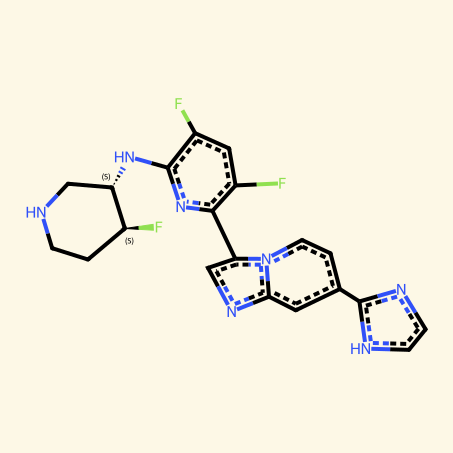 Fc1cc(F)c(-c2cnc3cc(-c4ncc[nH]4)ccn23)nc1N[C@H]1CNCC[C@@H]1F